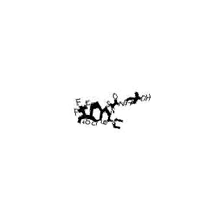 CCN(CC)C(=O)c1nc(C(=O)NCC(C)(C)O)sc1-c1ccc([C@@](O)(CC)C(F)(F)F)c(Cl)c1Cl